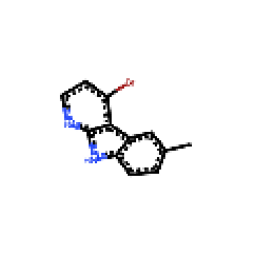 Cc1ccc2[nH]c3nccc(Br)c3c2c1